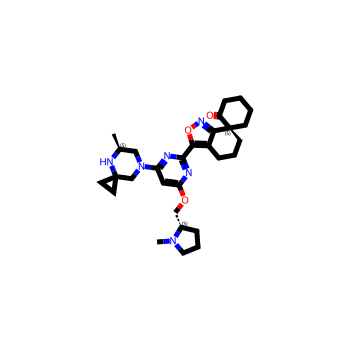 C[C@H]1CN(c2cc(OC[C@@H]3CCCN3C)nc(-c3onc4c3CCC[C@@]43CCCCC3=O)n2)CC2(CC2)N1